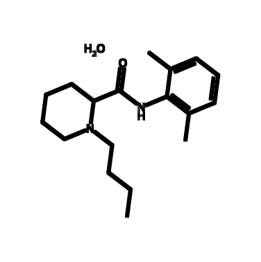 CCCCN1CCCCC1C(=O)Nc1c(C)cccc1C.O